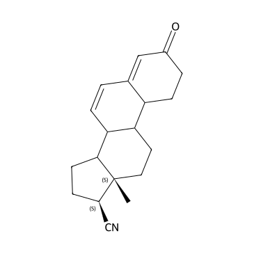 C[C@]12CCC3C4CCC(=O)C=C4C=CC3C1CC[C@@H]2C#N